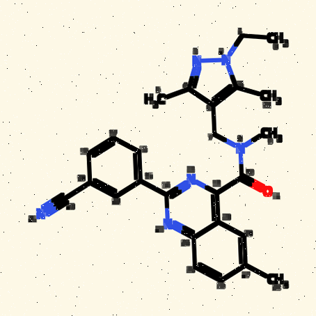 CCn1nc(C)c(CN(C)C(=O)c2nc(-c3cccc(C#N)c3)nc3ccc(C)cc23)c1C